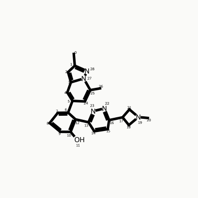 Cc1cc2cc(-c3cccc(O)c3-c3ccc(C4CN(C)C4)nn3)cc(C)n2n1